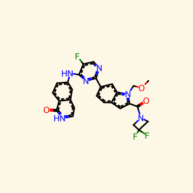 COCn1c(C(=O)N2CC(F)(F)C2)cc2ccc(-c3ncc(F)c(Nc4ccc5c(=O)[nH]ccc5c4)n3)cc21